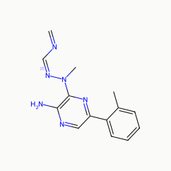 C=N/C=N\N(C)c1nc(-c2ccccc2C)cnc1N